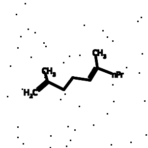 C=C(C)CCC=C(C)CCC